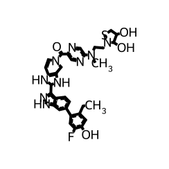 CCc1cc(O)c(F)cc1-c1ccc2c(C3NC4=C(CN(C(=O)c5cnc(N(C)CCN6SCC(O)C6O)cn5)C=C4)N3)n[nH]c2c1